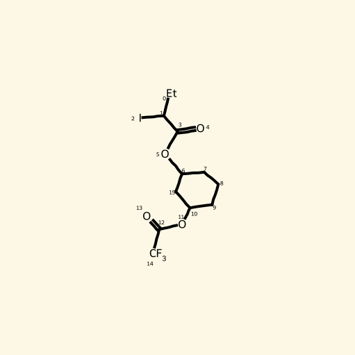 CCC(I)C(=O)OC1CCCC(OC(=O)C(F)(F)F)C1